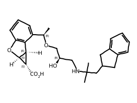 C[C@@H](OC[C@H](O)CNC(C)(C)CC1Cc2ccccc2C1)c1cccc2c1[C@@H]1[C@H](O2)[C@H]1C(=O)O